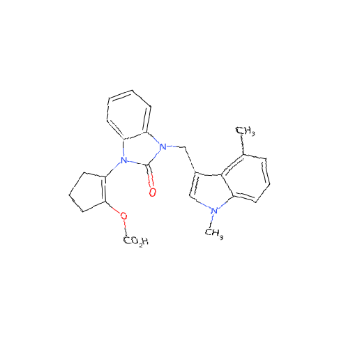 Cc1cccc2c1c(Cn1c(=O)n(C3=C(OC(=O)O)CCC3)c3ccccc31)cn2C